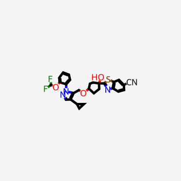 N#Cc1ccc2nc(C3(O)CCC(OCc4c(C5CC5)cnn4-c4ccccc4OC(F)F)CC3)sc2c1